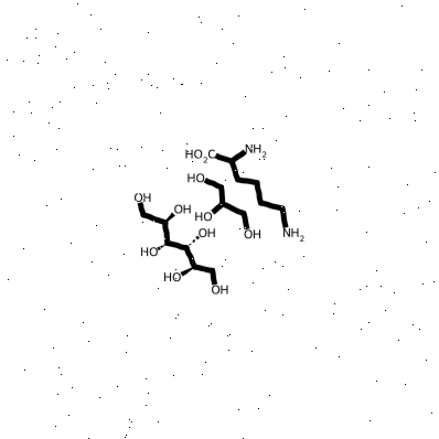 NCCCCC(N)C(=O)O.OCC(O)CO.OC[C@@H](O)[C@@H](O)[C@H](O)[C@H](O)CO